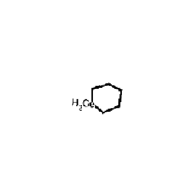 C1C[CH2][GeH2][CH2]C1